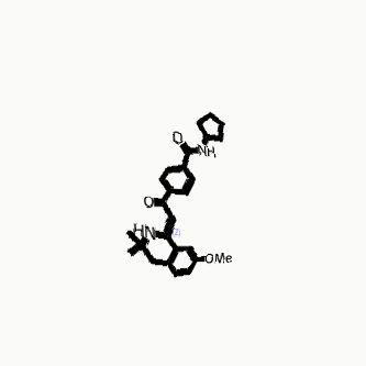 COc1ccc2c(c1)/C(=C/C(=O)c1ccc(C(=O)NC3CCCC3)cc1)NC(C)(C)C2